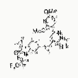 COc1ncc(-c2cc([C@H]3C[C@@H]3c3ccc4c(c3)N(CC(F)(F)C(F)(F)F)C(=O)C43CC3)c3nccn3n2)c(OC)n1